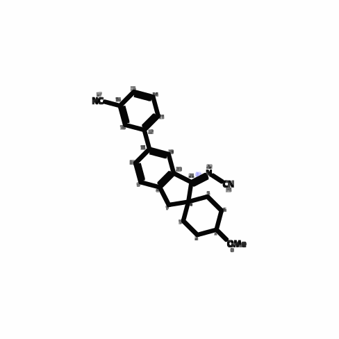 COC1CCC2(CC1)Cc1ccc(-c3cccc(C#N)c3)cc1/C2=N/C#N